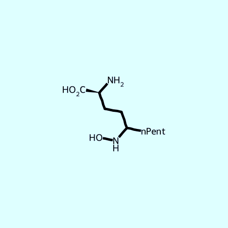 CCCCCC(CC[C@H](N)C(=O)O)NO